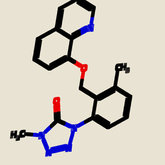 Cc1cccc(-n2nnn(C)c2=O)c1COc1cccc2cccnc12